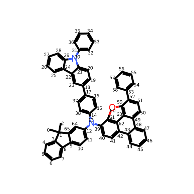 CC1(C)c2ccccc2-c2ccc(N(c3ccc(-c4ccc5c(c4)c4ccccc4n5-c4ccccc4)cc3)c3ccc4c5ccccc5c5ccc(-c6ccccc6)c6oc3c4c65)cc21